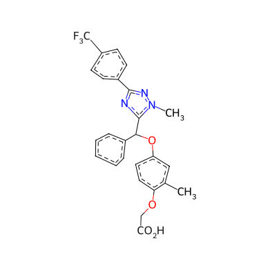 Cc1cc(OC(c2ccccc2)c2nc(-c3ccc(C(F)(F)F)cc3)nn2C)ccc1OCC(=O)O